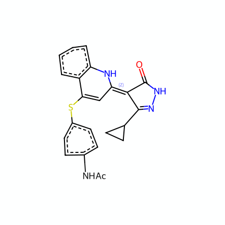 CC(=O)Nc1ccc(SC2=C/C(=C3/C(=O)NN=C3C3CC3)Nc3ccccc32)cc1